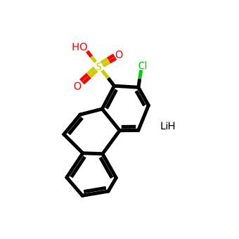 O=S(=O)(O)c1c(Cl)ccc2c1ccc1ccccc12.[LiH]